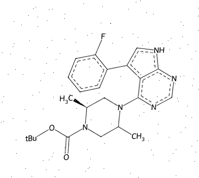 CC1CN(C(=O)OC(C)(C)C)[C@@H](C)CN1c1ncnc2[nH]cc(-c3ccccc3F)c12